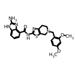 COc1ccc(CN2CCc3nc(NC(=O)c4cccc5[nH]c(N)nc45)sc3C2)c(OC)c1